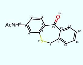 CC(=O)Nc1ccc2c(c1)SCc1ccccc1C2=O